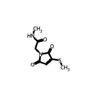 CNC(=O)CN1C(=O)C=C(SC)C1=O